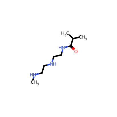 CNCCNCCNC(=O)C(C)C